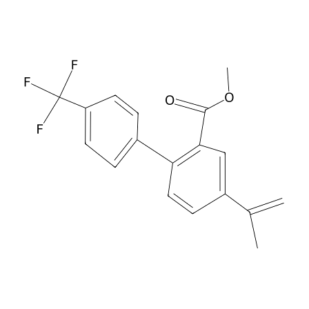 C=C(C)c1ccc(-c2ccc(C(F)(F)F)cc2)c(C(=O)OC)c1